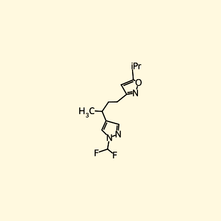 CC(C)c1cc(CCC(C)c2cnn(C(F)F)c2)no1